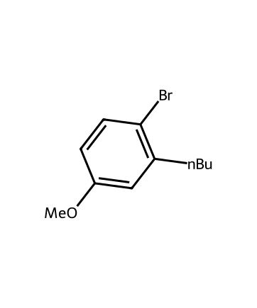 CCCCc1cc(OC)ccc1Br